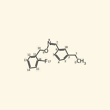 CCc1cccc(/[C]=N\OCc2ccccc2F)c1